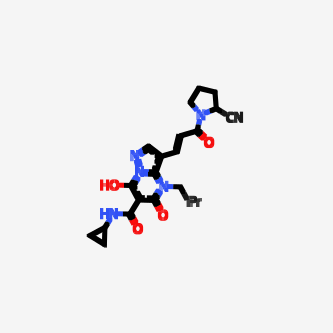 CC(C)Cn1c(=O)c(C(=O)NC2CC2)c(O)n2ncc(C=CC(=O)N3CCCC3C#N)c12